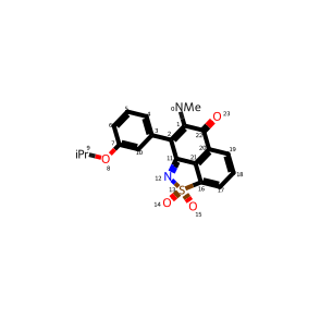 CNC1=C(c2cccc(OC(C)C)c2)C2=NS(=O)(=O)c3cccc(c32)C1=O